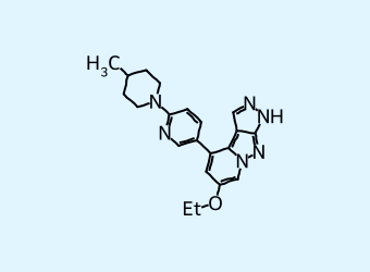 CCOc1cc(-c2ccc(N3CCC(C)CC3)nc2)c2c3cn[nH]c3nn2c1